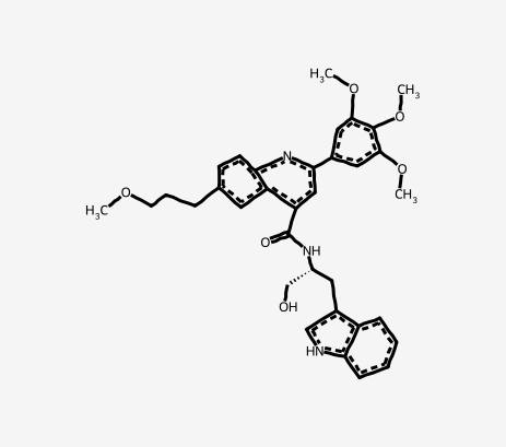 COCCCc1ccc2nc(-c3cc(OC)c(OC)c(OC)c3)cc(C(=O)N[C@@H](CO)Cc3c[nH]c4ccccc34)c2c1